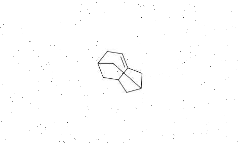 C1=C2CC3CC(C1)CC2C3